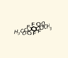 CC(=O)OC(=O)c1c(F)c(F)c(C(=O)OC(C)=O)c(F)c1F